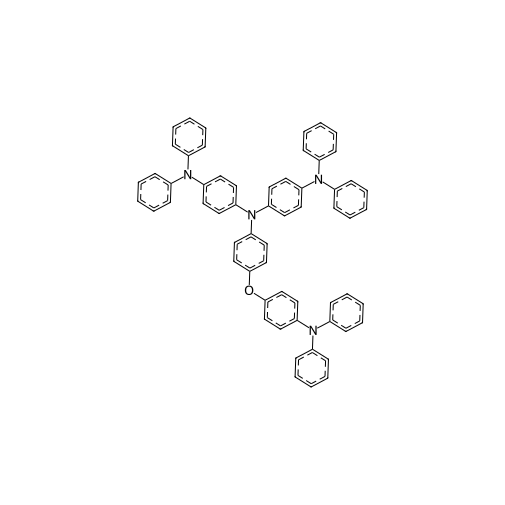 c1ccc(N(c2ccccc2)c2ccc(Oc3ccc(N(c4ccc(N(c5ccccc5)c5ccccc5)cc4)c4ccc(N(c5ccccc5)c5ccccc5)cc4)cc3)cc2)cc1